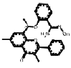 Cc1cc([C@@H](C)Oc2ccccc2C(N)=NO)c2oc(-c3ccccc3)c(C)c(=O)c2c1